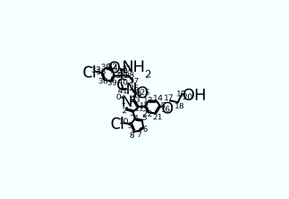 Cn1cc(-c2ccccc2Cl)c(-c2ccc(OCCCO)cc2)c1C(=O)N1CCC(C(N)=O)(c2ccc(Cl)cc2)CC1